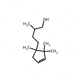 CC(CO)CCC1(C)CC=CC1(C)C